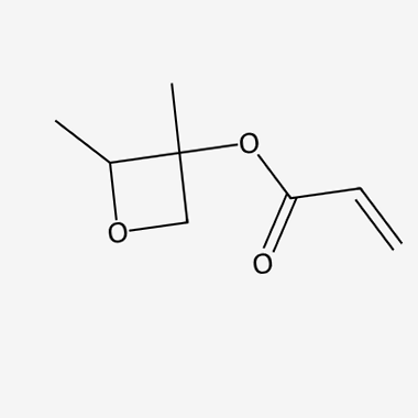 C=CC(=O)OC1(C)COC1C